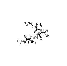 C[C@@H](O)[C@H](NC(=O)[C@@H](N)CCN)C(=O)NCC[C@H](N)C(=O)NN